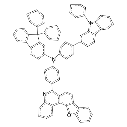 c1ccc(-n2c3ccccc3c3ccc(-c4ccc(N(c5ccc(-c6nc7ccccc7c7c6ccc6c8ccccc8oc67)cc5)c5ccc6c(c5)C(c5ccccc5)(c5ccccc5)c5ccccc5-6)cc4)cc32)cc1